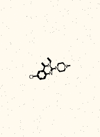 C=CN1C(=C)c2cc(Cl)ccc2N=C1N1CCN(C)CC1